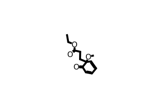 CCOC(=O)CCC1(OC)C=CC=CC1=O